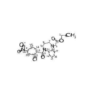 CCOC(=O)CN1CCCN(C(=O)c2ccc([N+](=O)[O-])cc2Cl)c2ccccc21